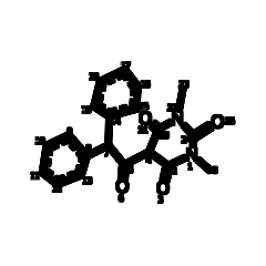 CN1C(=O)C(C(=O)C(c2ccccc2)c2ccccc2)C(=O)N(C)C1=O